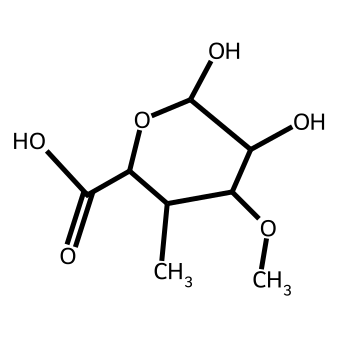 COC1C(C)C(C(=O)O)OC(O)C1O